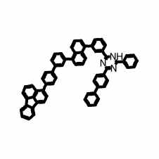 c1ccc(-c2ccc(C3=NC(c4ccccc4)NC(c4cccc(-c5cccc6c(-c7cccc(-c8ccc(-c9ccc%10c%11c(cccc9%11)-c9ccccc9-%10)cc8)c7)cccc56)c4)=N3)cc2)cc1